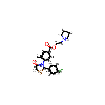 Cc1cc(C(=O)OCCN2CCCC2)ccc1N1C(=O)CSC1c1ccc(F)cc1